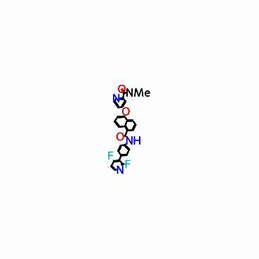 CNC(=O)c1cc(Oc2cccc3c(C(=O)Nc4ccc(-c5c(F)ccnc5F)cc4)cccc23)ccn1